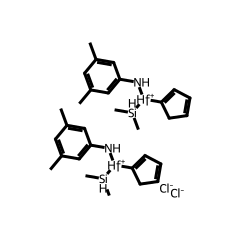 Cc1cc(C)cc([NH][Hf+]([C]2=CC=CC2)[SiH](C)C)c1.Cc1cc(C)cc([NH][Hf+]([C]2=CC=CC2)[SiH](C)C)c1.[Cl-].[Cl-]